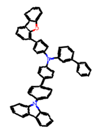 c1ccc(-c2cccc(N(c3ccc(-c4ccc(-n5c6ccccc6c6ccccc65)cc4)cc3)c3ccc(-c4cccc5c4oc4ccccc45)cc3)c2)cc1